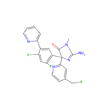 CN1C(=O)C(c2cc(CF)ccn2)(c2cc(-c3ccccn3)c(F)cc2F)N=C1N